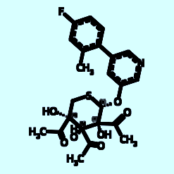 CC(=O)[C@]1(O)[C@@](O)(C(C)=O)CS[C@H](Oc2cncc(-c3ccc(F)cc3C)c2)[C@@]1(O)C(C)=O